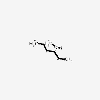 CCCCCC.CO